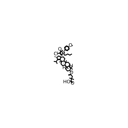 C=C(CC(C)(C)C(=O)O)O[C@H]1CCC2(C)[C@H]3CCC4(C)C5=C(C(C)C)[C@@H](C)C[C@]5(c5c(Cl)c(=O)n(-c6ccc(OC)cc6)n5CCCC)CC[C@@]4(C)C3(C)CC[C@H]2C1(C)C